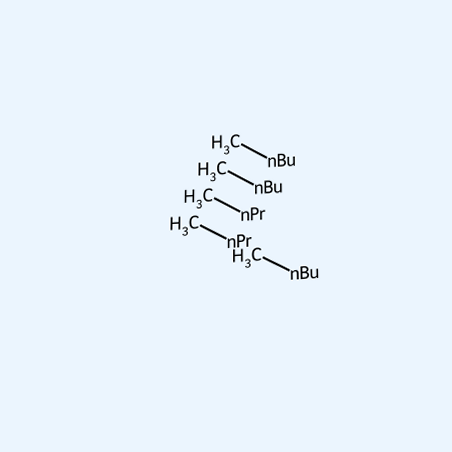 CCCC.CCCC.CCCCC.CCCCC.CCCCC